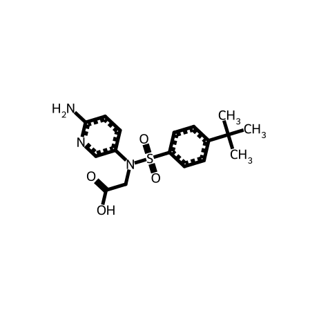 CC(C)(C)c1ccc(S(=O)(=O)N(CC(=O)O)c2ccc(N)nc2)cc1